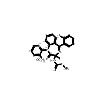 CC(C)(C)OC(=O)NC1(C)N=C(c2ccccc2F)c2ccccc2N(c2ncccc2C(=O)O)C1=O